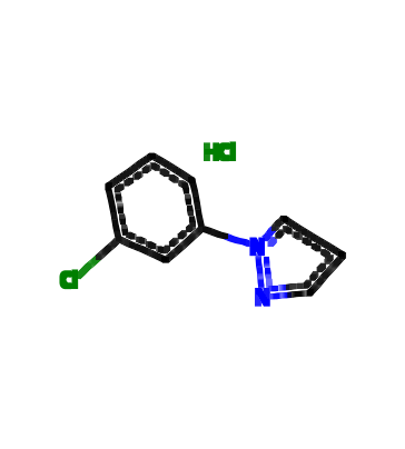 Cl.Clc1cccc(-n2cccn2)c1